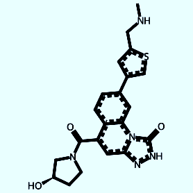 CNCc1cc(-c2ccc3c(C(=O)N4CC[C@@H](O)C4)cc4n[nH]c(=O)n4c3c2)cs1